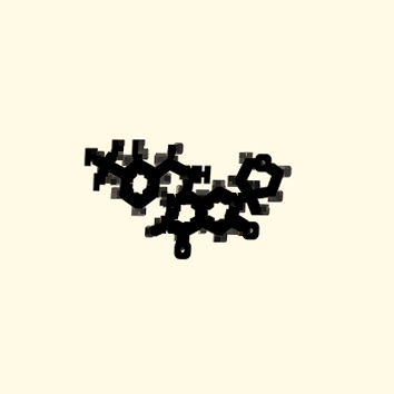 C[C@@H](Nc1nn(C)c(=O)c2cc(=O)n(C3(C)CCOCC3)cc12)c1cccc(C(F)(F)F)c1F